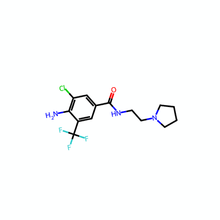 Nc1c(Cl)cc(C(=O)NCCN2CCCC2)cc1C(F)(F)F